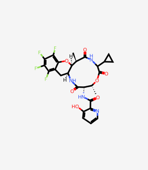 C[C@H]1OC(=O)C(C2CC2)NC(=O)[C@H](C)[C@@H]2Oc3c(F)c(F)c(F)c(F)c3C[C@@H]2NC(=O)[C@H]1NC(=O)c1ncccc1O